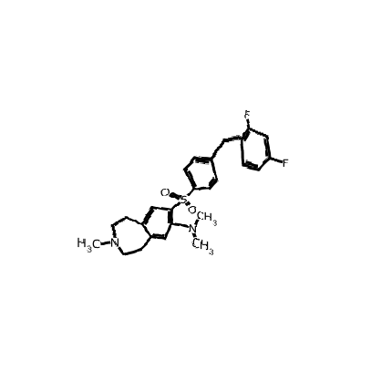 CN1CCc2cc(N(C)C)c(S(=O)(=O)c3ccc(Cc4ccc(F)cc4F)cc3)cc2CC1